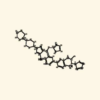 CC(Cn1cnnn1)Oc1cc(-c2cnc(Nc3cn(C4CCC(N5CCOCC5)CC4)nc3OCc3nccs3)nc2)ccc1C#N